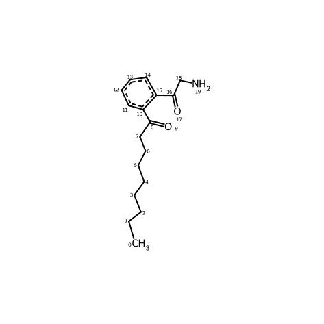 CCCCCCCCC(=O)c1ccccc1C(=O)CN